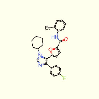 CCc1ccccc1NC(=O)c1ccc(-c2c(-c3ccc(F)cc3)ncn2C2CCCCC2)o1